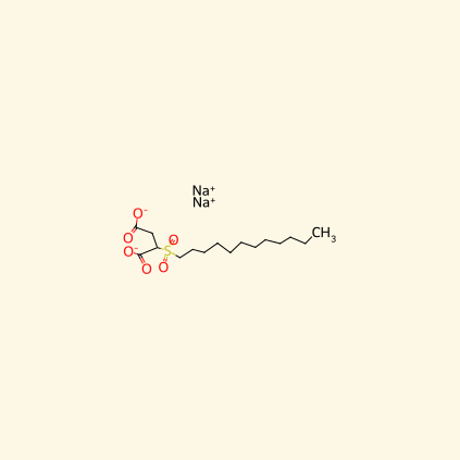 CCCCCCCCCCCCS(=O)(=O)C(CC(=O)[O-])C(=O)[O-].[Na+].[Na+]